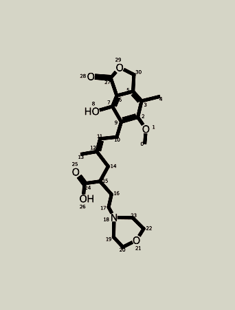 COc1c(C)c2c(c(O)c1CC=C(C)CC(CCN1CCOCC1)C(=O)O)C(=O)OC2